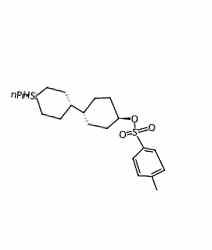 CCC[Si@H]1CC[C@H]([C@H]2CC[C@H](OS(=O)(=O)c3ccc(C)cc3)CC2)CC1